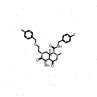 CCC(C)[C@H]1C(=O)N(CCOCc2ccc(C)cc2)C[C@H]2C1C(=O)CN(C)N2C(=O)NCc1ccc(F)cc1